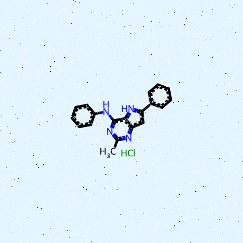 Cc1nc(Nc2ccccc2)c2[nH]c(-c3ccccc3)cc2n1.Cl